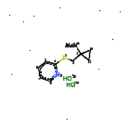 CNC1(CSc2ccccn2)CC1.Cl.Cl